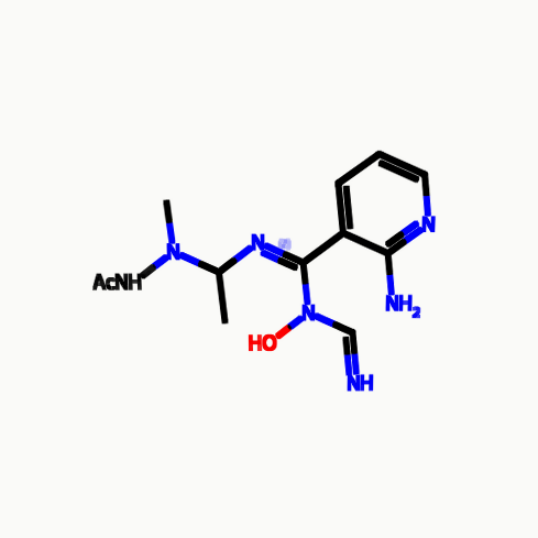 CC(=O)NN(C)C(C)/N=C(/c1cccnc1N)N(O)C=N